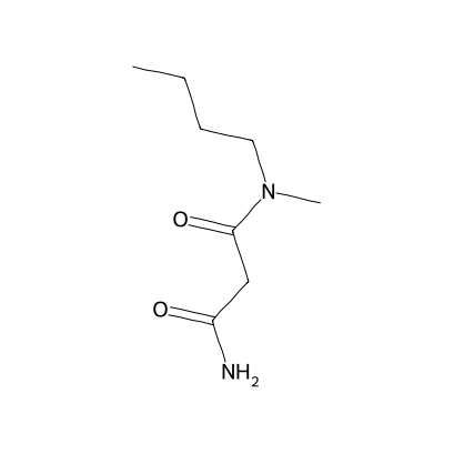 CCCCN(C)C(=O)CC(N)=O